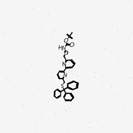 CC(C)(C)OC(=O)NOCc1cccc(-c2cccc(CSC(c3ccccc3)(c3ccccc3)c3ccccc3)n2)n1